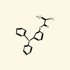 C=C(C)C(=O)Oc1cccc(N(c2ccccc2)c2ccccc2)c1